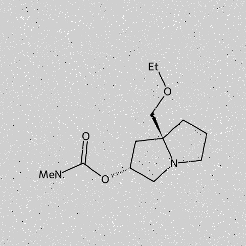 CCOC[C@@]12CCCN1C[C@H](OC(=O)NC)C2